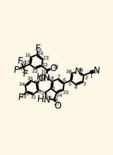 N#Cc1ccc(-c2cc(NC(=O)c3cc(F)cc(C(F)(F)F)c3)c3c(c2)C(=O)N[C@@H]3c2cc(F)ccc2Cl)cn1